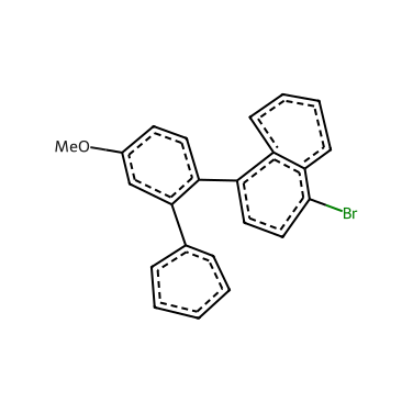 COc1ccc(-c2ccc(Br)c3ccccc23)c(-c2ccccc2)c1